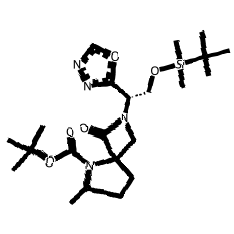 CC1CCC2(CN([C@@H](CO[Si](C)(C)C(C)(C)C)c3nnco3)C2=O)N1C(=O)OC(C)(C)C